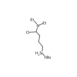 CCCC[SiH2]CCCC(Cl)N(CC)CC